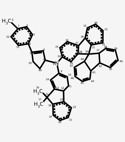 Cc1ccc(C2=CC(N(C3=CCC4C(=C3)C(C)(C)c3ccccc34)c3ccc4c(c3)C3(c5ccccc5-4)C4C=CC=CC4C4C=CC=CC43)CC2)cc1